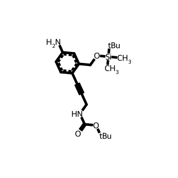 CC(C)(C)OC(=O)NCC#Cc1ccc(N)cc1CO[Si](C)(C)C(C)(C)C